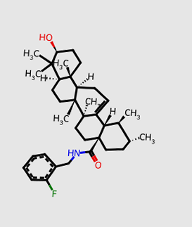 C[C@H]1[C@H](C)CC[C@]2(C(=O)NCc3ccccc3F)CC[C@]3(C)C(=CC[C@@H]4[C@@]5(C)CC[C@H](O)C(C)(C)[C@@H]5CC[C@]43C)[C@H]12